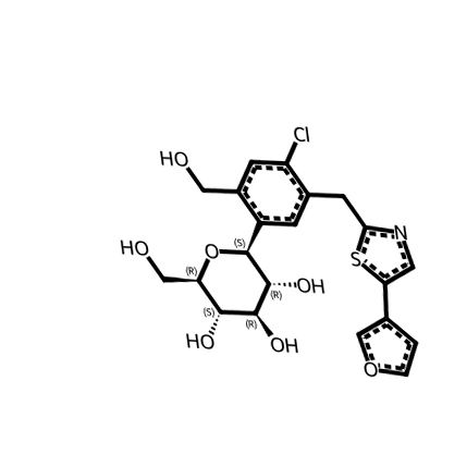 OCc1cc(Cl)c(Cc2ncc(-c3ccoc3)s2)cc1[C@@H]1O[C@H](CO)[C@@H](O)[C@H](O)[C@H]1O